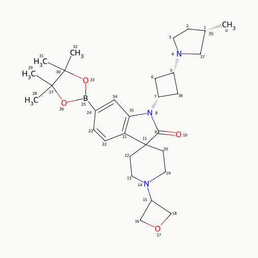 C[C@H]1CCN([C@H]2C[C@@H](N3C(=O)C4(CCN(C5COC5)CC4)c4ccc(B5OC(C)(C)C(C)(C)O5)cc43)C2)C1